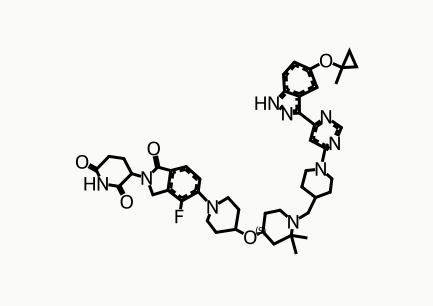 CC1(Oc2ccc3[nH]nc(-c4cc(N5CCC(CN6CC[C@H](OC7CCN(c8ccc9c(c8F)CN(C8CCC(=O)NC8=O)C9=O)CC7)CC6(C)C)CC5)ncn4)c3c2)CC1